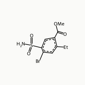 CCc1cc(Br)c(S(N)(=O)=O)cc1C(=O)OC